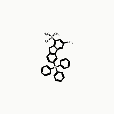 Cc1cc2c(c([Si](C)(C)C)c1)Cc1ccc([Si](c3ccccc3)(c3ccccc3)c3ccccc3)cc1-2